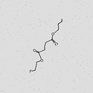 O=C(CCC(=O)OCCF)OCCF